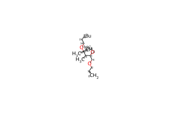 C=CCOCC(OC(C)(C)C)C(C)C(C)(C)OCCC(C)(C)C